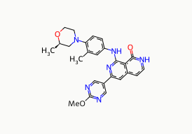 COc1ncc(-c2cc3cc[nH]c(=O)c3c(Nc3ccc(N4CCO[C@H](C)C4)c(C)c3)n2)cn1